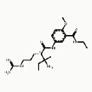 CCNC(=O)c1cc(NC(=O)[C@@H](CCCNC(=N)N)C(C)(N)CC)ccc1OC